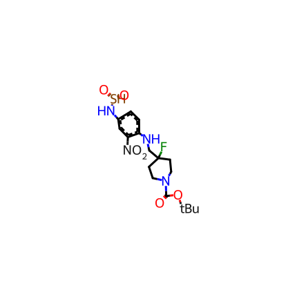 CC(C)(C)OC(=O)N1CCC(F)(CNc2ccc(N[SH](=O)=O)cc2[N+](=O)[O-])CC1